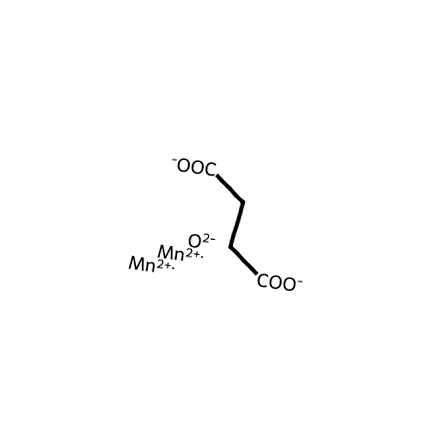 O=C([O-])CCC(=O)[O-].[Mn+2].[Mn+2].[O-2]